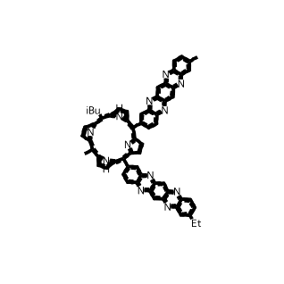 CCc1ccc2nc3cc4nc5cc(-c6c7nc(c(-c8ccc9nc%10cc%11nc%12cc(C)ccc%12nc%11cc%10nc9c8)c8ccc([nH]8)c(C(C)CC)c8nc(c(C)c9ccc6[nH]9)C=C8)C=C7)ccc5nc4cc3nc2c1